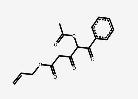 C=CCOC(=O)CC(=O)C(OC(C)=O)C(=O)c1ccccc1